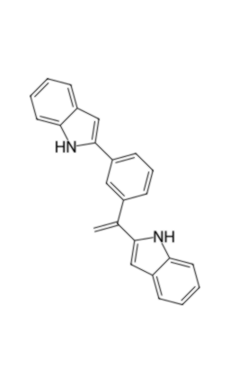 C=C(c1cccc(-c2cc3ccccc3[nH]2)c1)c1cc2ccccc2[nH]1